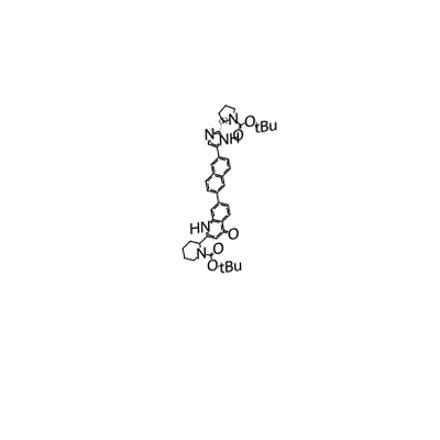 CC(C)(C)OC(=O)N1CCCCC1c1cc(=O)c2ccc(-c3ccc4cc(-c5cnc([C@@H]6CCCN6C(=O)OC(C)(C)C)[nH]5)ccc4c3)cc2[nH]1